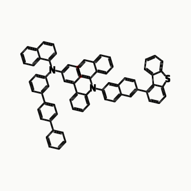 c1ccc(-c2ccc(-c3cccc(N(c4cccc(-c5ccccc5N(c5ccc6cc(-c7cccc8sc9ccccc9c78)ccc6c5)c5cccc6ccccc56)c4)c4cccc5ccccc45)c3)cc2)cc1